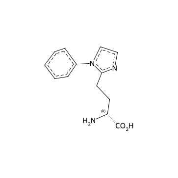 N[C@H](CCc1nccn1-c1ccccc1)C(=O)O